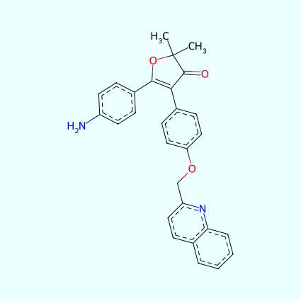 CC1(C)OC(c2ccc(N)cc2)=C(c2ccc(OCc3ccc4ccccc4n3)cc2)C1=O